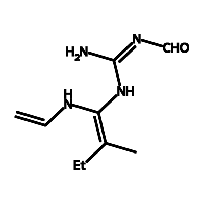 C=CN/C(N/C(N)=N\C=O)=C(/C)CC